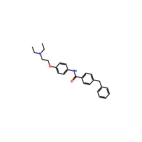 CCN(CC)CCOc1ccc(NC(=O)c2ccc(Cc3ccccc3)cc2)cc1